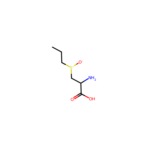 CCC[S+]([O-])CC(N)C(=O)O